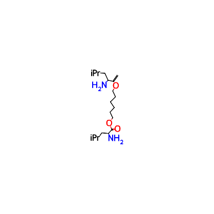 C=C(OCCCCCCOC(=O)C(N)CC(C)C)C(N)CC(C)C